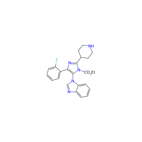 CCOC(=O)n1c(C2CCNCC2)nc(-c2ccccc2F)c1-n1cnc2ccccc21